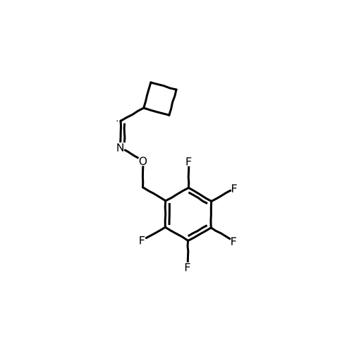 Fc1c(F)c(F)c(CO/N=[C]\C2CCC2)c(F)c1F